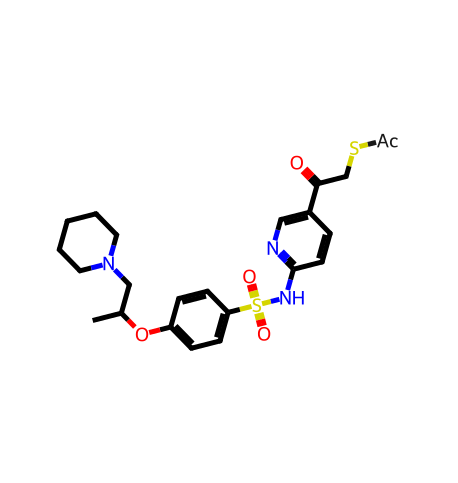 CC(=O)SCC(=O)c1ccc(NS(=O)(=O)c2ccc(OC(C)CN3CCCCC3)cc2)nc1